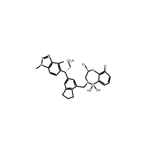 CC[C@@H]1CN(Cc2cc([C@@H](CC(=O)O)c3ccc4c(nnn4C)c3C)cc3c2CCC3)S(O)(O)c2cccc(Cl)c2O1